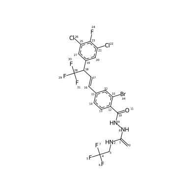 C=C(NCC(F)(F)F)NNC(=O)c1ccc(/C=C/C(c2cc(Cl)c(F)c(Cl)c2)C(F)(F)F)cc1Br